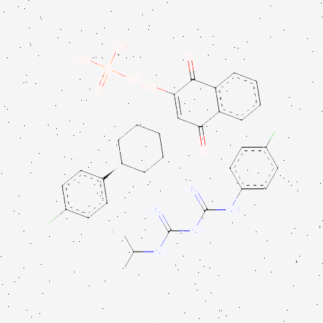 CC(C)NC(=N)NC(=N)Nc1ccc(Cl)cc1.O=C1C(O)=C([C@H]2CC[C@H](c3ccc(Cl)cc3)CC2)C(=O)c2ccccc21.O=P(O)(O)O